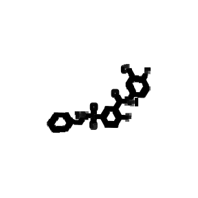 O=C(Nc1ccc(F)c(Cl)c1)c1cc(S(=O)(=O)NCc2ccccc2)ccc1F